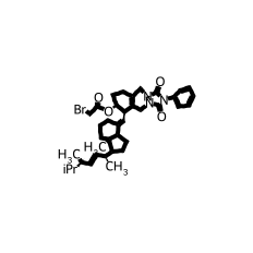 CC(C)[C@@H](C)/C=C/[C@@H](C)C1CCC2/C(=C/[C@@H]3C4=C(CC[C@@H]3OC(=O)CBr)Cn3c(=O)n(-c5ccccc5)c(=O)n3C4)CCCC21C